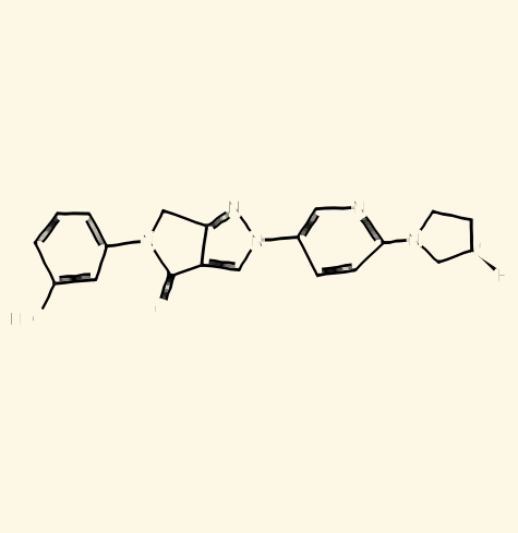 Cc1cccc(N2Cc3nn(-c4ccc(N5CC[C@@H](F)C5)nc4)cc3C2=O)c1